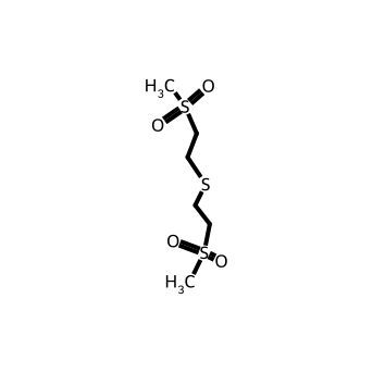 CS(=O)(=O)CCSCCS(C)(=O)=O